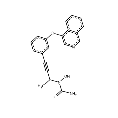 CC(C#Cc1cccc(Oc2cncc3ccccc23)c1)N(O)C(N)=O